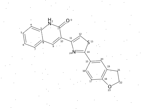 O=c1[nH]c2ccccc2cc1-c1csc(-c2ccc3c(c2)CCO3)n1